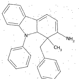 CC1(Cc2ccccc2)C(N)=CC=C2c3ccccc3N(c3ccccc3)C21